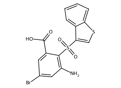 Nc1cc(Br)cc(C(=O)O)c1S(=O)(=O)c1csc2ccccc12